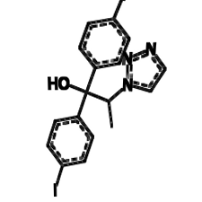 CC(n1ccnn1)C(O)(c1ccc(I)cc1)c1ccc(I)cc1